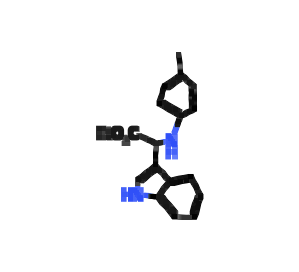 CCOC(=O)C(Nc1ccc(C)cc1)c1c[nH]c2ccccc12